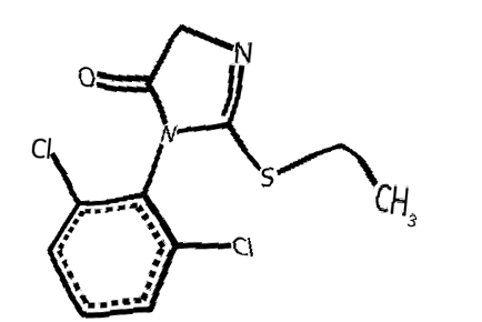 CCSC1=NCC(=O)N1c1c(Cl)cccc1Cl